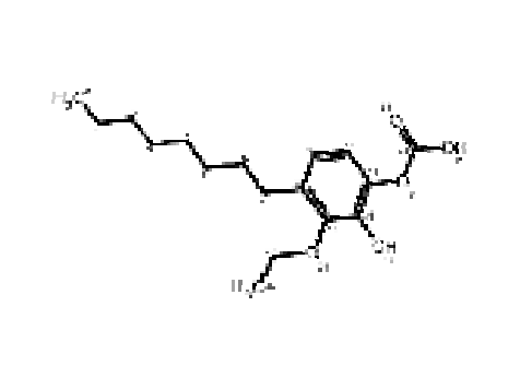 CCCCCCCCc1ccc(OC(=O)O)c(O)c1OCC